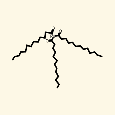 CCCCCCCCCCCC[C](=O)[Ru]([C](=O)CCCCCCCCCCCC)[C](=O)CCCCCCCCCCCC